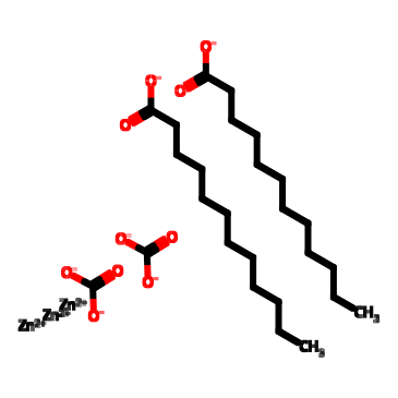 CCCCCCCCCCCC(=O)[O-].CCCCCCCCCCCC(=O)[O-].O=C([O-])[O-].O=C([O-])[O-].[Zn+2].[Zn+2].[Zn+2]